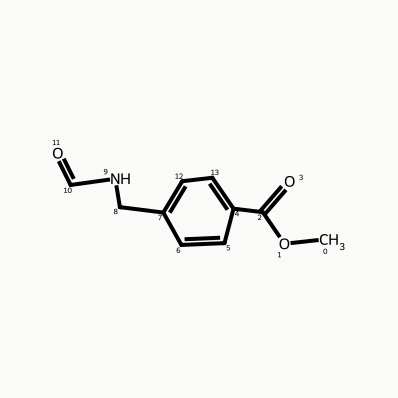 COC(=O)c1ccc(CNC=O)cc1